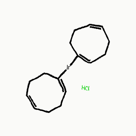 C1=CCC[C]([Ir][C]2=CCCC=CCC2)=CCC1.Cl